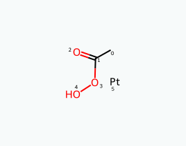 CC(=O)OO.[Pt]